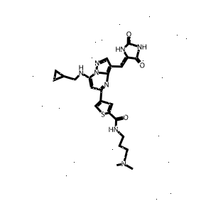 CN(C)CCCNC(=O)c1cc(-c2cc(NCC3CC3)n3ncc(/C=C4\NC(=O)NC4=O)c3n2)cs1